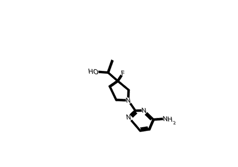 CC(O)C1(F)CCN(c2nccc(N)n2)C1